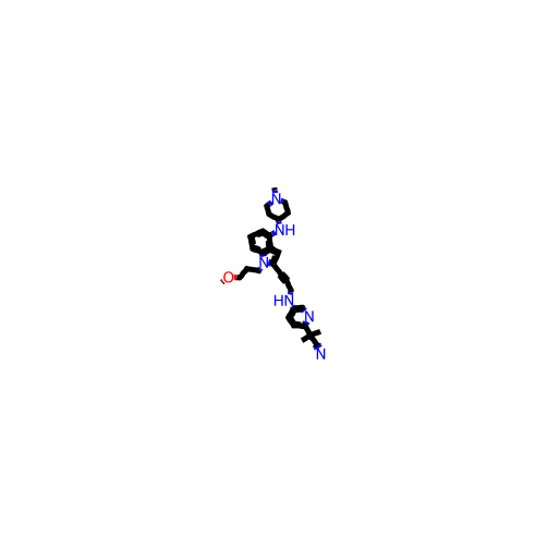 COCCCn1c(C#CCNc2ccc(C(C)(C)C#N)nc2)cc2c(NC3CCN(C)CC3)cccc21